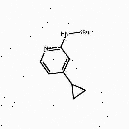 CC(C)(C)Nc1cc(C2CC2)ccn1